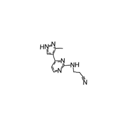 Cc1n[nH]cc1-c1ccnc(NCCC#N)n1